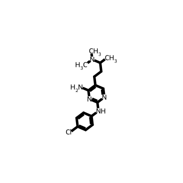 CC(CCc1cnc(Nc2ccc(Cl)cc2)nc1N)N(C)C